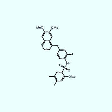 COc1cc2nccc(Cc3ccc(NS(=O)(=O)c4cc(C)c(C)cc4OC)c(F)c3)c2cc1OC